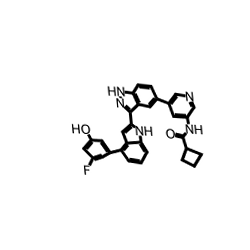 O=C(Nc1cncc(-c2ccc3[nH]nc(-c4cc5c(-c6cc(O)cc(F)c6)cccc5[nH]4)c3c2)c1)C1CCC1